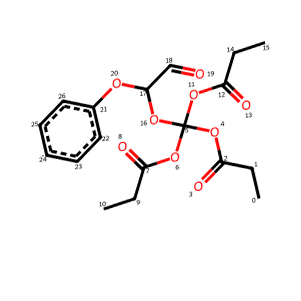 CCC(=O)OC(OC(=O)CC)(OC(=O)CC)OC(C=O)Oc1cc[c]cc1